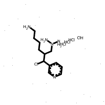 Cl.Cl.Cl.Cl.NCCCCC(CN(N)N)C(Cl)c1cccnc1